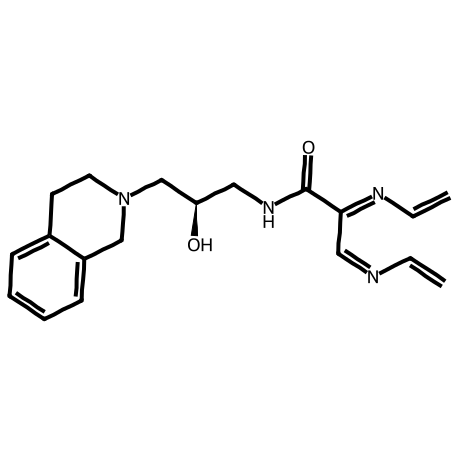 C=C/N=C\C(=N/C=C)C(=O)NC[C@@H](O)CN1CCc2ccccc2C1